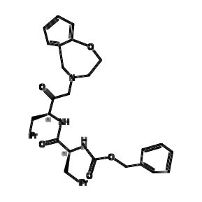 CC(C)C[C@H](NC(=O)[C@H](CC(C)C)NC(=O)OCc1ccccc1)C(=O)CN1CCOc2ccccc2C1